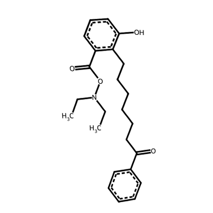 CCN(CC)OC(=O)c1cccc(O)c1CCCCCCC(=O)c1ccccc1